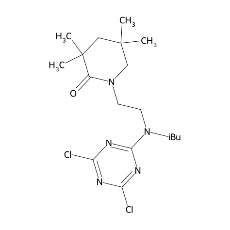 CCC(C)N(CCN1CC(C)(C)CC(C)(C)C1=O)c1nc(Cl)nc(Cl)n1